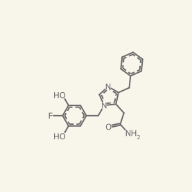 NC(=O)Cc1c(Cc2ccccc2)ncn1Cc1cc(O)c(F)c(O)c1